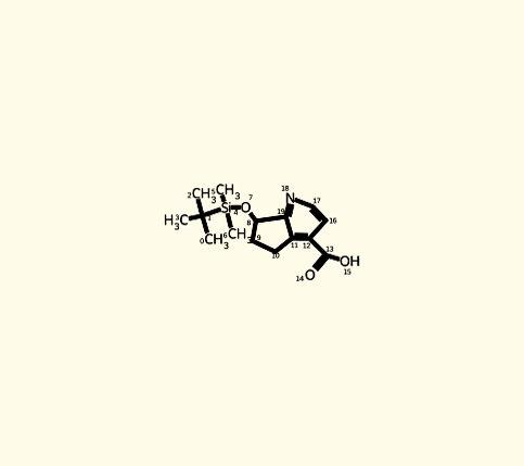 CC(C)(C)[Si](C)(C)OC1CCc2c(C(=O)O)ccnc21